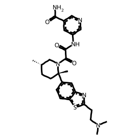 C[C@H]1CC[C@@](C)(c2ccc3sc(CCN(C)C)nc3c2)N(C(=O)C(=O)Nc2cncc(C(N)=O)c2)C1